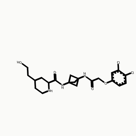 O=C(COc1ccc(Cl)c(Cl)c1)NC12CC(NC(=O)C3CC(CCO)CCN3)(C1)C2